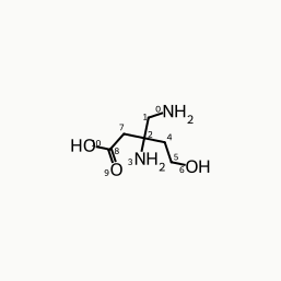 NCC(N)(CCO)CC(=O)O